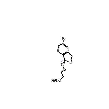 COCCO/N=C1\OCc2cc(Br)ccc21